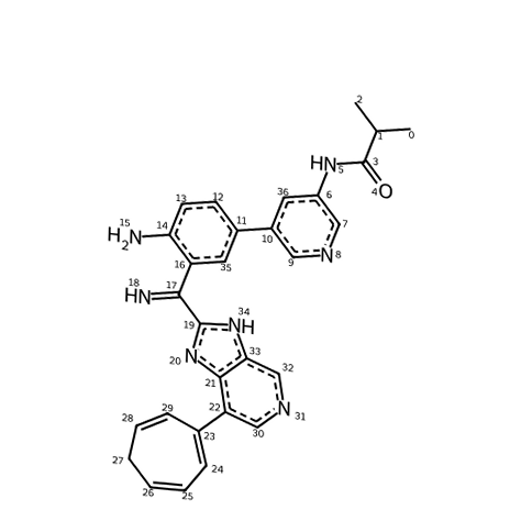 CC(C)C(=O)Nc1cncc(-c2ccc(N)c(C(=N)c3nc4c(C5=CC=CCC=C5)cncc4[nH]3)c2)c1